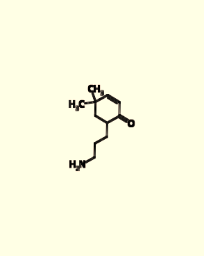 CC1(C)C=CC(=O)C(CCCN)C1